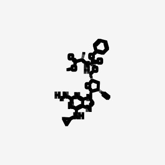 C#C[C@H]1C[C@@H](CO[P@@](=O)(N[C@@H](C)C(=O)OC)Oc2ccccc2)O[C@H]1n1cnc2c(NC3CC3)nc(N)nc21